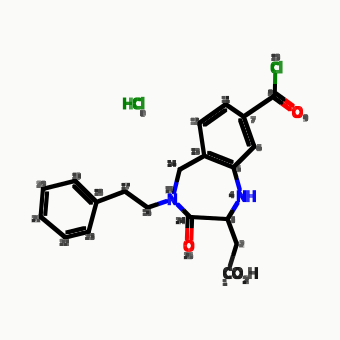 Cl.O=C(O)CC1Nc2cc(C(=O)Cl)ccc2CN(CCc2ccccc2)C1=O